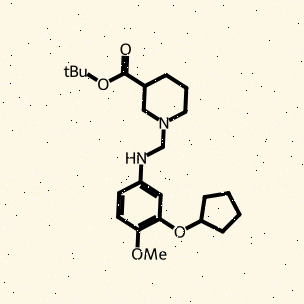 COc1ccc(NCN2CCCC(C(=O)OC(C)(C)C)C2)cc1OC1CCCC1